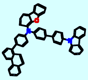 c1ccc2c(c1)ccc1c(-c3ccc(N(c4ccc(-c5ccc(-n6c7ccccc7c7ccccc76)cc5)cc4)c4cccc5c4oc4ccccc45)cc3)cccc12